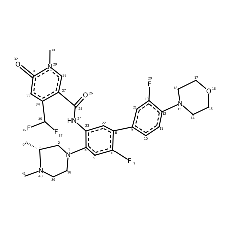 C[C@@H]1CN(c2cc(F)c(-c3ccc(N4CCOCC4)c(F)c3)cc2NC(=O)c2cn(C)c(=O)cc2C(F)F)CCN1C